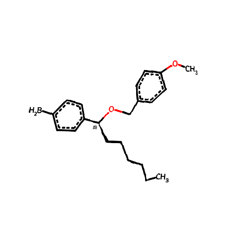 Bc1ccc([C@H](CCCCCC)OCc2ccc(OC)cc2)cc1